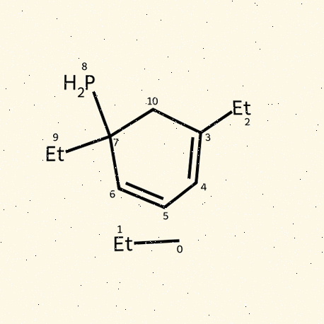 CCC.CCC1=CC=CC(P)(CC)C1